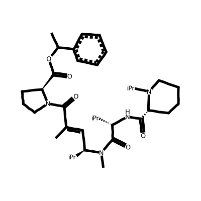 C/C(=C\[C@H](C(C)C)N(C)C(=O)[C@@H](NC(=O)[C@H]1CCCCN1C(C)C)C(C)C)C(=O)N1CCC[C@H]1C(=O)OC(C)c1ccccc1